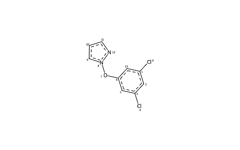 Clc1cc(Cl)cc(On2c[c]cn2)c1